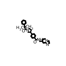 CC(C)(C(=O)N1CCC(c2ccc(C(=O)NCc3ccn4ccnc4c3)cc2)C1)c1ccccc1